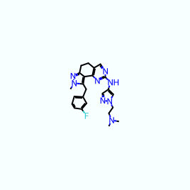 CN(C)CCn1cc(Nc2ncc3c(n2)-c2c(nn(C)c2Cc2cccc(F)c2)CC3)cn1